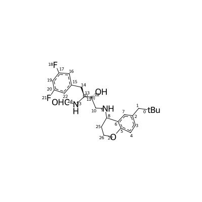 CC(C)(C)Cc1ccc2c(c1)C(NC[C@@H](O)[C@H](Cc1cc(F)cc(F)c1)NC=O)CCO2